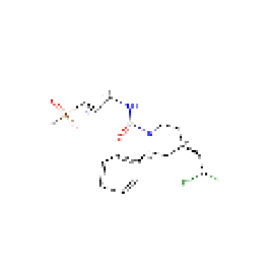 C[C@@H](/C=C/S(C)(=O)=O)NC(=O)N1CC[C@@H](CC(F)F)C[C@H]1c1ccccc1